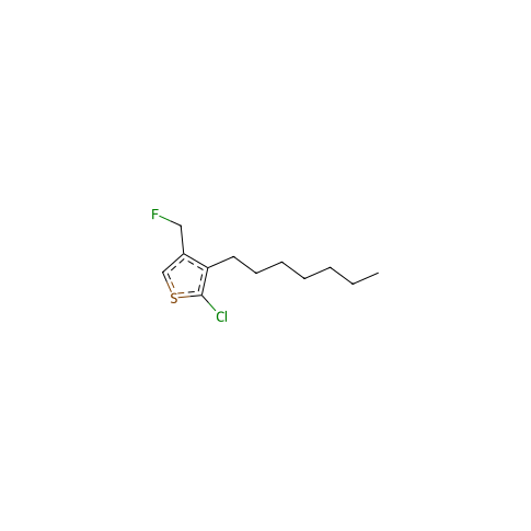 CCCCCCCc1c(CF)csc1Cl